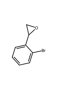 Brc1ccccc1C1CO1